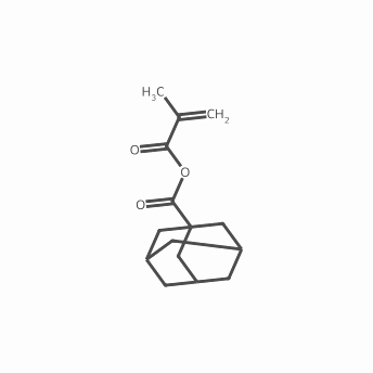 C=C(C)C(=O)OC(=O)C12CC3CC(CC(C3)C1)C2